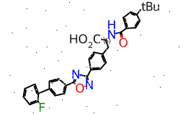 CC(C)(C)c1ccc(C(=O)N[C@@H](Cc2ccc(-c3noc(-c4ccc(-c5ccccc5F)cc4)n3)cc2)C(=O)O)cc1